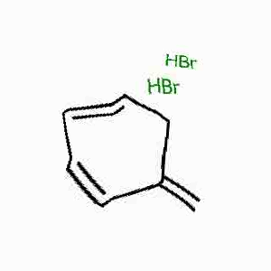 Br.Br.C=C1C=CC=CC1